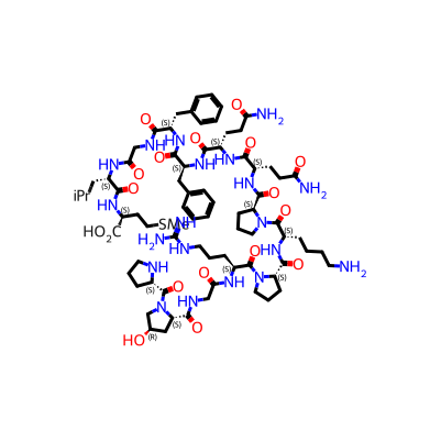 CSCC[C@H](NC(=O)[C@H](CC(C)C)NC(=O)CNC(=O)[C@H](Cc1ccccc1)NC(=O)[C@H](Cc1ccccc1)NC(=O)[C@H](CCC(N)=O)NC(=O)[C@H](CCC(N)=O)NC(=O)[C@@H]1CCCN1C(=O)[C@H](CCCCN)NC(=O)[C@@H]1CCCN1C(=O)[C@H](CCCNC(=N)N)NC(=O)CNC(=O)[C@@H]1C[C@@H](O)CN1C(=O)[C@@H]1CCCN1)C(=O)O